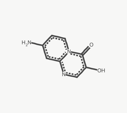 Nc1ccn2c(=O)c(O)cnc2c1